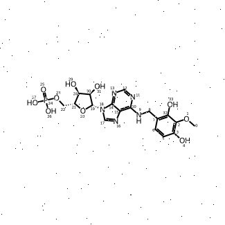 COc1c(O)ccc(CNc2ncnc3c2ncn3[C@@H]2O[C@H](COP(=O)(O)O)[C@@H](O)[C@H]2O)c1O